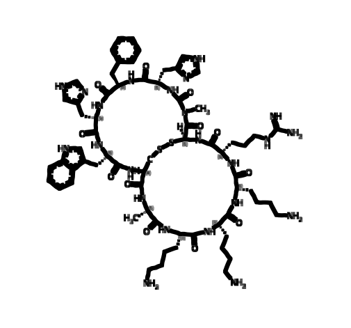 C[C@@H]1NC(=O)[C@@H]2CSS[C@H](NC(=O)[C@H](CCCNC(=N)N)NC(=O)[C@H](CCCCN)NC(=O)[C@H](CCCCN)NC(=O)[C@H](CCCCN)NC1=O)C(=O)N(C)C(=O)N[C@@H](Cc1c[nH]cn1)C(=O)N[C@H](Cc1ccccc1)C(=O)N[C@@H](Cc1c[nH]cn1)C(=O)N[C@@H](Cc1c[nH]c3ccccc13)C(=O)N2